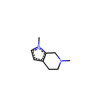 CN1CCc2ccn(C)c2C1